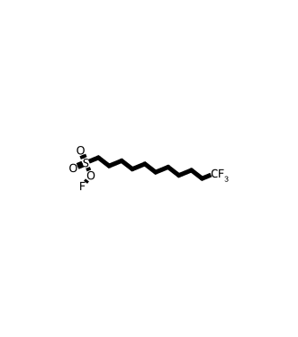 O=S(=O)(CCCCCCCCCCC(F)(F)F)OF